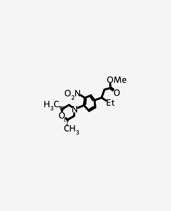 CCC(CC(=O)OC)c1ccc(N2C[C@@H](C)O[C@@H](C)C2)c([N+](=O)[O-])c1